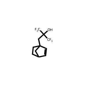 OC(CC12C=CC(CC1)C2)(C(F)(F)F)C(F)(F)F